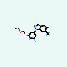 COCOc1cc(-n2ncc3cc(Br)c(C(F)(F)F)cc32)cc(F)c1F